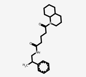 CC(CNC(=O)CCCC(=O)N1CCCC2CCCCC21)c1ccccc1